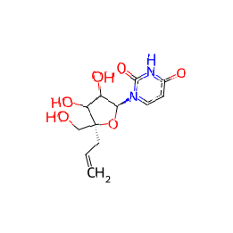 C=CC[C@@]1(CO)O[C@H](n2ccc(=O)[nH]c2=O)C(O)C1O